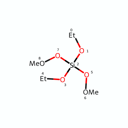 CCO[Si](OCC)(OOC)OOC